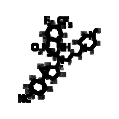 CN1CCN(CCCN(C(=S)Nc2cc(C(F)(F)F)c(F)cc2[N+](=O)[O-])C2CC[C@]3(c4ccc(C#N)cc4)CC23)CC1